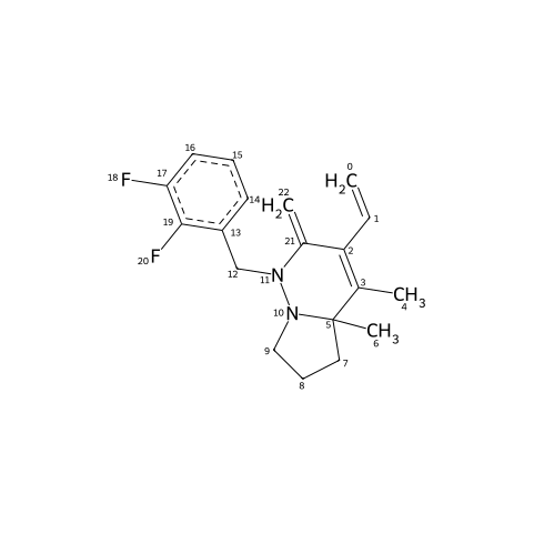 C=CC1=C(C)C2(C)CCCN2N(Cc2cccc(F)c2F)C1=C